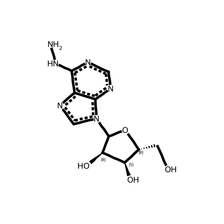 NNc1ncnc2c1ncn2C1O[C@H](CO)[C@@H](O)[C@H]1O